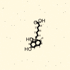 C[C@@H]1C=CC2=C[C@@H](O)C[C@H](O)[C@@H]2[C@H]1CCCCCCC(=O)O